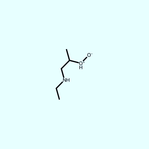 CCNCC(C)[OH+][O-]